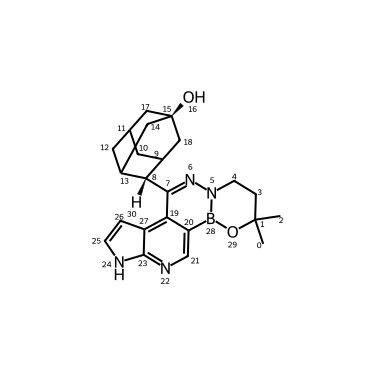 CC1(C)CCN2N=C([C@H]3C4CC5CC3C[C@](O)(C5)C4)c3c(cnc4[nH]ccc34)B2O1